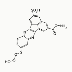 NOC(=O)c1cc2c3c(cc(S(=O)(=O)O)cc3c1)-c1nc3ccc(SOOO)cc3nc1-2